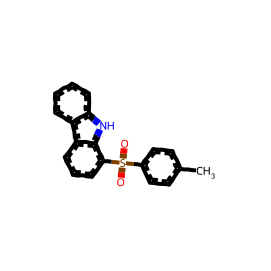 Cc1ccc(S(=O)(=O)c2cccc3c2[nH]c2ccccc23)cc1